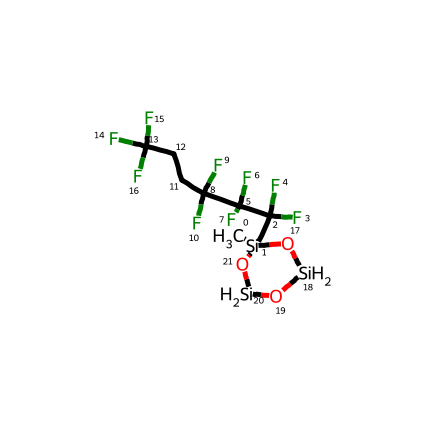 C[Si]1(C(F)(F)C(F)(F)C(F)(F)CCC(F)(F)F)O[SiH2]O[SiH2]O1